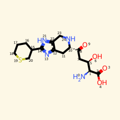 N[C@H](C(=O)O)[C@H](O)CC(=O)[C@@H]1Cc2nc(C3CCCSC3)[nH]c2CN1